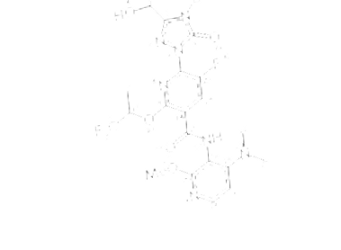 CCn1c(CO)nn(-c2nc(OC(C)C(F)(F)F)c(C(=O)Nc3c(N(C)C)ccnc3OC)cc2F)c1=O